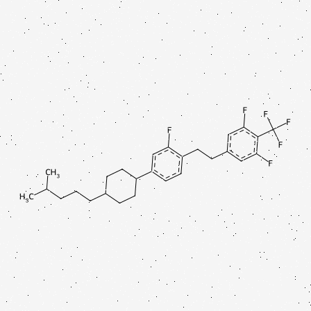 CC(C)CCCC1CCC(c2ccc(CCc3cc(F)c(C(F)(F)F)c(F)c3)c(F)c2)CC1